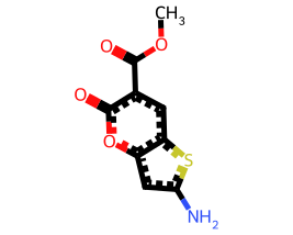 COC(=O)c1cc2sc(N)cc2oc1=O